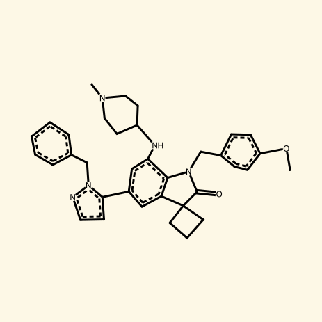 COc1ccc(CN2C(=O)C3(CCC3)c3cc(-c4ccnn4Cc4ccccc4)cc(NC4CCN(C)CC4)c32)cc1